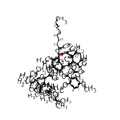 COc1ccc(OC)c(C(=O)O[C@H]2[C@@H]3[C@]4(OC(C)=O)CO[C@@H]4C[C@H]4O[C@@H]([C@H](OC(=O)CCCSSC)C5=C(C)[C@@H](OC(=O)[C@H](O[Si](C(C)C)(C(C)C)C(C)C)[C@H](C=C(C)C)NC(=O)OC(C)(C)C)C[C@]2(O)C5(C)C)[C@@]34C)c1